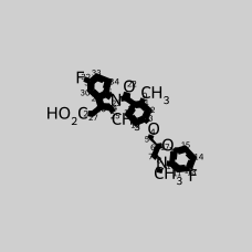 Cc1cc(OC[C@@H]2CN(C)c3cc(F)ccc3O2)ccc1C(=O)n1c(C)c(CC(=O)O)c2cc(F)ccc21